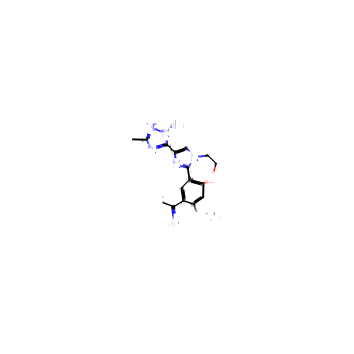 COc1cc2c(cc1/C(C)=N/S)-c1nc(-c3nc(C)nn3C(C)C)cn1CCO2